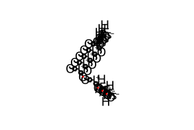 COc1ccc([I+]c2ccc(OC)cc2)cc1.COc1ccc([I+]c2ccc(OC)cc2)cc1.COc1ccc([I+]c2ccc(OC)cc2)cc1.COc1ccc([I+]c2ccc(OC)cc2)cc1.COc1ccc([I+]c2ccc(OC)cc2)cc1.COc1ccc([I+]c2ccc(OC)cc2)cc1.O=[AsH]([O-])F.O=[AsH]([O-])F.O=[AsH]([O-])F.O=[AsH]([O-])F.O=[AsH]([O-])F.O=[AsH]([O-])F